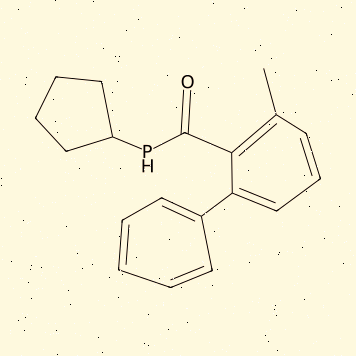 Cc1cccc(-c2ccccc2)c1C(=O)PC1CCCC1